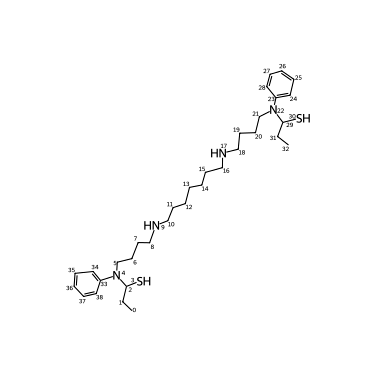 CCC(S)N(CCCCNCCCCCCCNCCCCN(c1ccccc1)C(S)CC)c1ccccc1